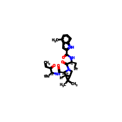 C=CC(=O)[C@@H](NC(=O)[C@@H]1[C@@H]2C(CN1C(=O)[C@H](CC(C)C)NC(=O)c1cc3c(C)cccc3[nH]1)C2(C)C)C(C)(C)C